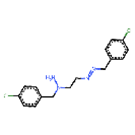 NN(CCN=NCc1ccc(Cl)cc1)Cc1ccc(Cl)cc1